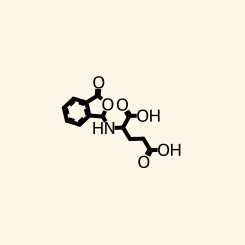 O=C(O)CCC(NC1OC(=O)c2ccccc21)C(=O)O